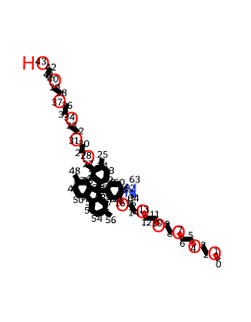 COCCOCCOCCOCCOCCOc1cc(C2(c3ccc(C)c(COCCOCCOCCOCCOCCO)c3)c3cc(C)ccc3-c3ccc(C)cc32)ccc1N(C)C